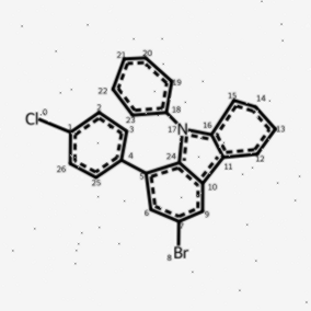 Clc1ccc(-c2cc(Br)cc3c4ccccc4n(-c4ccccc4)c23)cc1